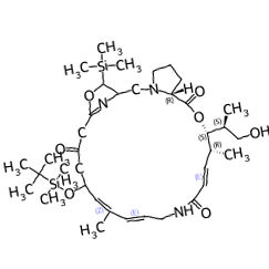 CC1=C/C(O[Si](C)(C)C(C)(C)C)CC(=O)CC2=NC(CN3CCC[C@@H]3C(=O)O[C@H]([C@@H](C)CO)[C@H](C)/C=C/C(=O)NC\C=C\1)C([Si](C)(C)C)O2